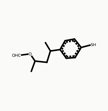 CC(CC(C)c1ccc(S)cc1)OC=O